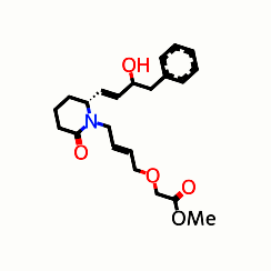 COC(=O)COCC=CCN1C(=O)CCC[C@@H]1C=CC(O)Cc1ccccc1